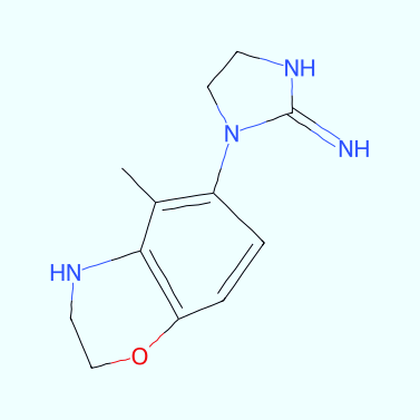 Cc1c(N2CCNC2=N)ccc2c1NCCO2